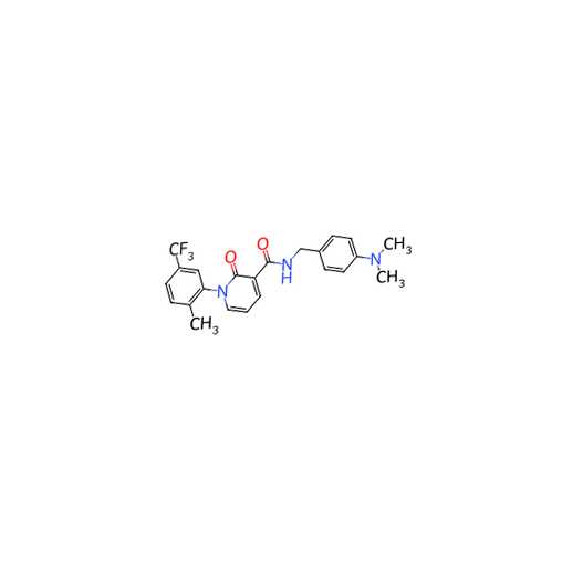 Cc1ccc(C(F)(F)F)cc1-n1cccc(C(=O)NCc2ccc(N(C)C)cc2)c1=O